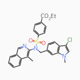 CCOC(=O)c1ccc(S(=O)(=O)N(Cc2ccc3c(Cl)cn(C)c3c2)c2ncc3ccccc3c2C)cc1